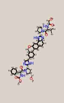 COC[C@H]1C[C@@H](c2ncc(-c3ccc4c(c3)COc3cc5c(ccc6nc([C@@H]7CC[C@H](C)N7C(=O)[C@@H](NC(=O)C=O)C(C)C)[nH]c65)cc3-4)[nH]2)N(C(=O)[C@H](NC(=O)OC)c2ccccc2)C1